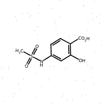 CS(=O)(=O)Nc1ccc(C(=O)O)c(O)c1